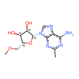 COC[C@H]1O[C@@H](n2cnc3c(N)nc(C)nc32)[C@H](O)[C@@H]1O